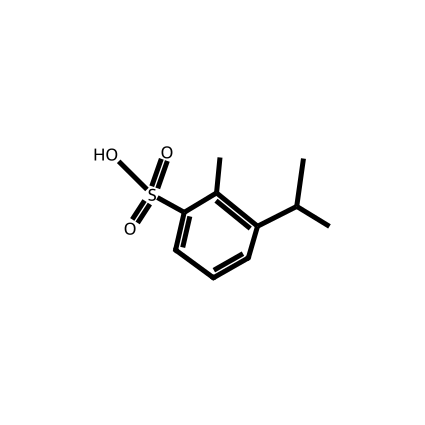 Cc1c(C(C)C)cccc1S(=O)(=O)O